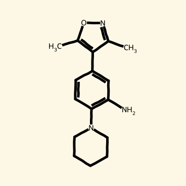 Cc1noc(C)c1-c1ccc(N2CCCCC2)c(N)c1